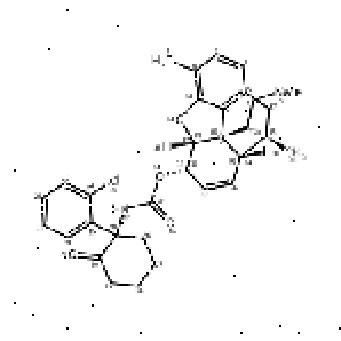 CNCC[C@]12c3c4ccc(C)c3O[C@H]1[C@@H](OC(=O)NC1(c3ccccc3Cl)CCCCC1=O)C=C[C@H]2[C@H](C)C4